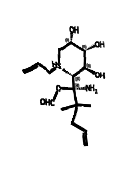 C=CC[SH]1C[C@H](O)[C@H](O)[C@@H](O)[C@@H]1[C@](N)(OC=O)C(C)(C)CC=C